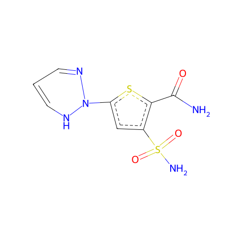 NC(=O)c1sc(N2N=CC=CN2)cc1S(N)(=O)=O